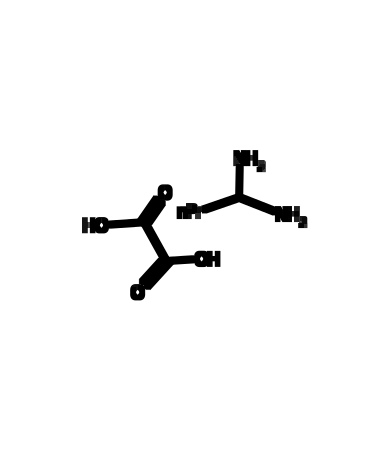 CCCC(N)N.O=C(O)C(=O)O